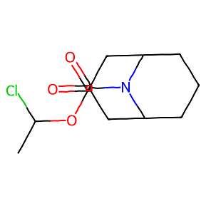 CC(Cl)OC(=O)N1C2CCCC1CC(=O)C2